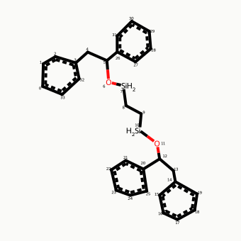 c1ccc(CC(O[SiH2]CC[SiH2]OC(Cc2ccccc2)c2ccccc2)c2ccccc2)cc1